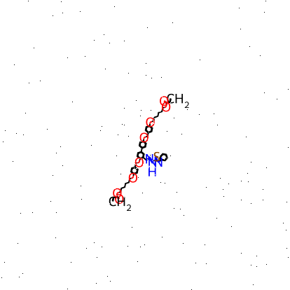 C=CC(=O)OCCCCCCOc1ccc(COc2ccc(-c3ccc(OCc4ccc(OCCCCCCOC(=O)C=C)cc4)c(/C=N/Nc4nc5ccccc5s4)c3)cc2)cc1